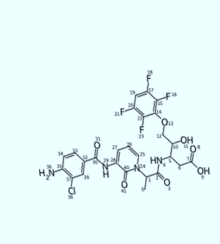 CC(C(=O)NC(CC(=O)O)C(O)COc1c(F)c(F)cc(F)c1F)n1cccc(NC(=O)c2ccc(N)c(Cl)c2)c1=O